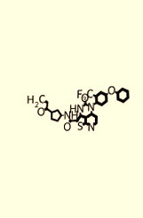 C=CC(=O)C1CC[C@@H](NC(=O)c2sc3nccc4c3c2NC(=O)N4c2ccc(Oc3ccccc3)cc2C(F)(F)F)C1